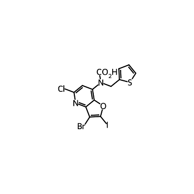 O=C(O)N(Cc1cccs1)c1cc(Cl)nc2c(Br)c(I)oc12